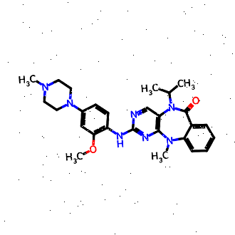 COc1cc(N2CCN(C)CC2)ccc1Nc1ncc2c(n1)N(C)c1ccccc1C(=O)N2C(C)C